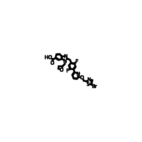 O=C(O)c1ccc2nc(Cc3cc(F)c(-c4cccc(OCc5ncc(Br)s5)n4)cc3F)n(CC3CCO3)c2c1